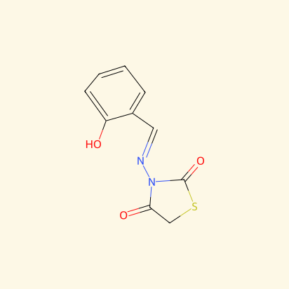 O=C1CSC(=O)N1/N=C/c1ccccc1O